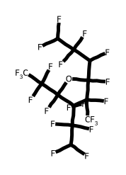 FC(F)C(F)(F)C(F)C(F)(OC(F)(C(F)C(F)(F)C(F)F)C(F)(F)C(F)(F)F)C(F)(F)C(F)(F)F